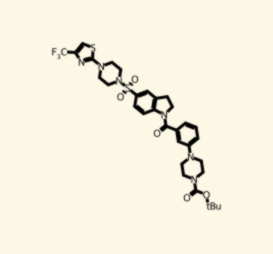 CC(C)(C)OC(=O)N1CCN(c2cccc(C(=O)N3CCc4cc(S(=O)(=O)N5CCN(c6nc(C(F)(F)F)cs6)CC5)ccc43)c2)CC1